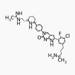 CC(=N)NCC[C@@H]1CCC[C@@H](c2ccc(-n3cc4cc(-c5cc(CCC[C@H](C)N)cc(Cl)c5F)[nH]c4nc3=O)cc2)N1